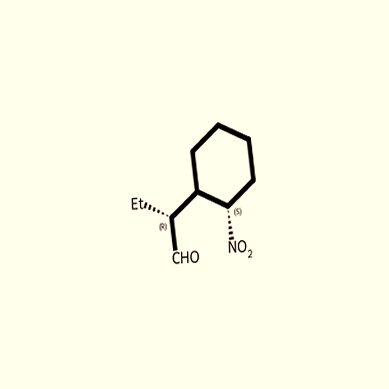 CC[C@@H](C=O)C1CCCC[C@@H]1[N+](=O)[O-]